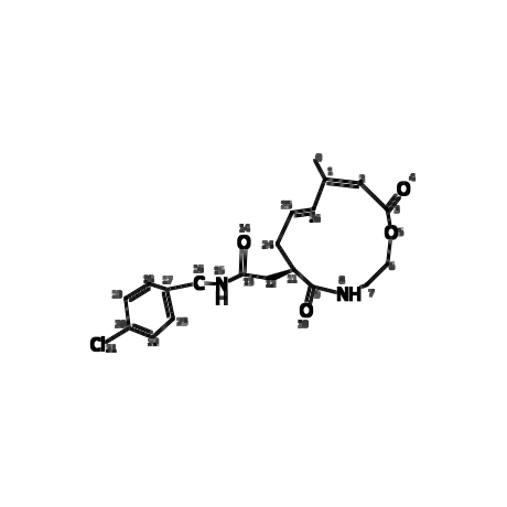 CC1=C/C(=O)OCCNC(=O)[C@@H](CC(=O)NCc2ccc(Cl)cc2)C\C=C\1